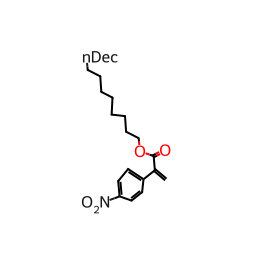 C=C(C(=O)OCCCCCCCCCCCCCCCCCC)c1ccc([N+](=O)[O-])cc1